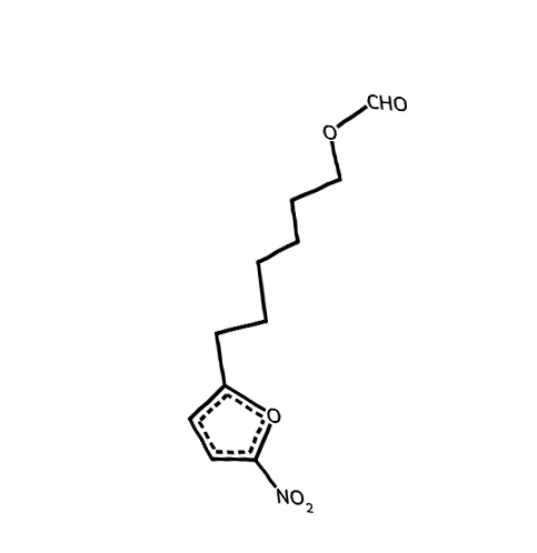 O=COCCCCCCc1ccc([N+](=O)[O-])o1